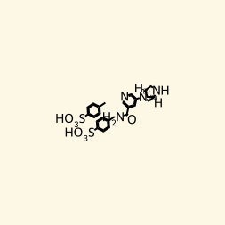 Cc1ccc(S(=O)(=O)O)cc1.Cc1ccc(S(=O)(=O)O)cc1.NC(=O)c1cncc(N2C[C@H]3C[C@@H]2CN3)c1